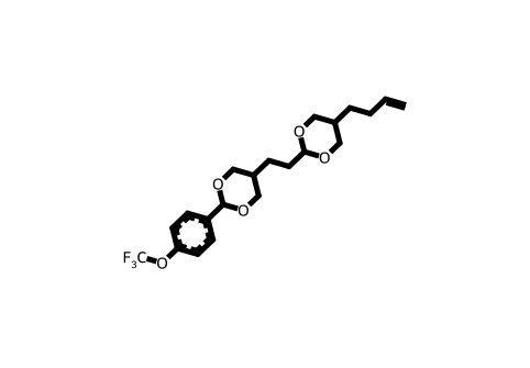 C=CCCC1COC(CCC2COC(c3ccc(OC(F)(F)F)cc3)OC2)OC1